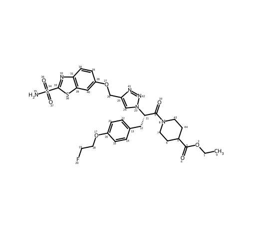 CCOC(=O)C1CCN(C(=O)[C@H](Cc2ccc(OCCF)cc2)n2cc(COc3ccc4nc(S(N)(=O)=O)sc4c3)nn2)CC1